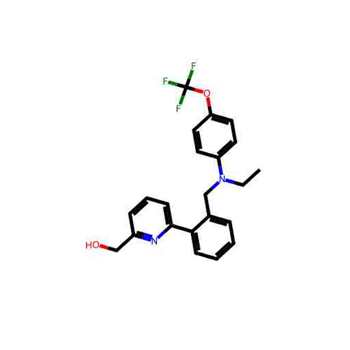 CCN(Cc1ccccc1-c1cccc(CO)n1)c1ccc(OC(F)(F)F)cc1